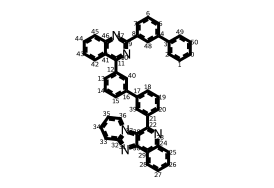 c1ccc(-c2cccc(-c3nc(-c4cccc(-c5cccc(-c6nc7ccccc7c7nc8ccccn8c67)c5)c4)c4ccccc4n3)c2)cc1